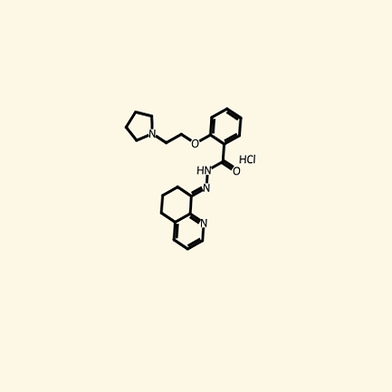 Cl.O=C(N/N=C1\CCCc2cccnc21)c1ccccc1OCCN1CCCC1